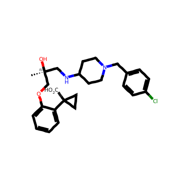 C[C@](O)(CNC1CCN(Cc2ccc(Cl)cc2)CC1)COc1ccccc1C1(C(=O)O)CC1